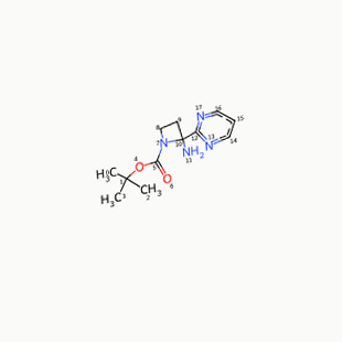 CC(C)(C)OC(=O)N1CCC1(N)c1ncccn1